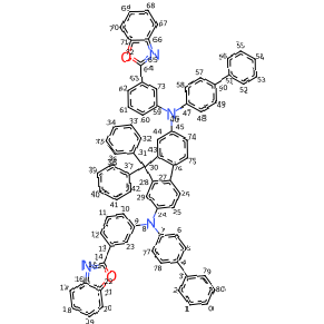 c1ccc(-c2ccc(N(c3cccc(-c4nc5ccccc5o4)c3)c3ccc4c(c3)C(c3ccccc3)(c3ccccc3)c3cc(N(c5ccc(-c6ccccc6)cc5)c5cccc(-c6nc7ccccc7o6)c5)ccc3-4)cc2)cc1